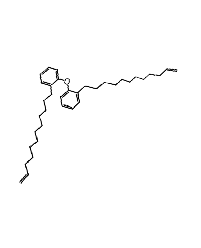 C=CCCCCCCCCCCc1ccccc1Oc1ccccc1CCCCCCCCCCC=C